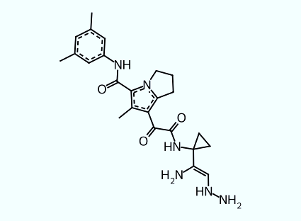 Cc1cc(C)cc(NC(=O)c2c(C)c(C(=O)C(=O)NC3(/C(N)=C/NN)CC3)c3n2CCC3)c1